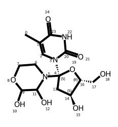 Cc1cn([C@@]2(N3CCOC(O)C3O)C[C@H](O)[C@@H](CO)O2)c(=O)[nH]c1=O